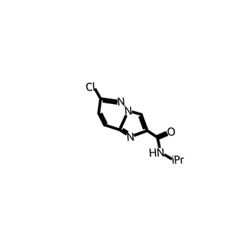 CC(C)NC(=O)c1cn2nc(Cl)ccc2n1